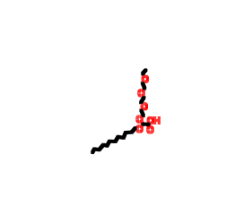 CCCCCCCCCCCCOC(OCCOCCOCCOCC)C(=O)O